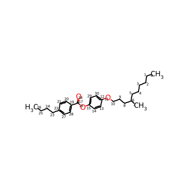 CCCCCCC(C)CCCOc1ccc(OC(=O)c2ccc(CCCC)cc2)cc1